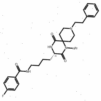 CCCN1C(=O)[C@H](CCCCNC(=O)c2ccc(F)cc2)NC(=O)C12CCN(CCc1ccccc1)CC2